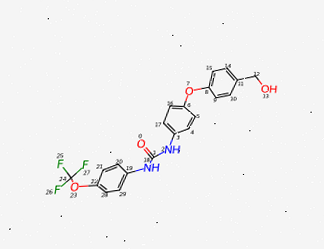 O=C(Nc1ccc(Oc2ccc(CO)cc2)cc1)Nc1ccc(OC(F)(F)F)cc1